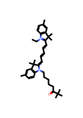 CC[N+]1=C(/C=C/C=C/C=C2/N(CCCCCC(=O)C(C)(C)C)c3ccc(C)cc3C2(C)C)C(C)(C)c2cc(C)ccc21